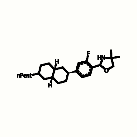 CCCCCC1CC[C@@H]2C[C@H](c3ccc(C4NC(C)(C)CO4)c(F)c3)CC[C@@H]2C1